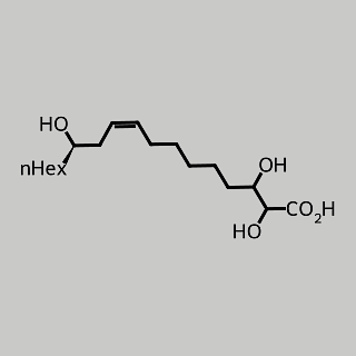 CCCCCC[C@@H](O)C/C=C\CCCCCC(O)C(O)C(=O)O